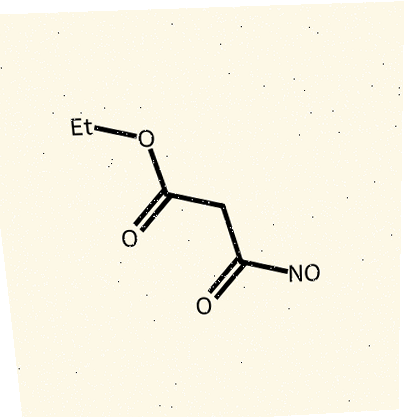 CCOC(=O)CC(=O)N=O